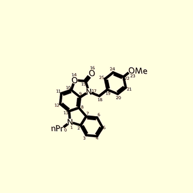 CCCn1c2ccccc2c2c3c(ccc21)oc(=O)n3Cc1ccc(OC)cc1